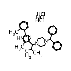 Cc1ccccc1-c1nc(C(C(C)C)N2CCN(C(c3ccccc3)c3ccccc3)CC2)c(C)[nH]1.Cl.Cl.Cl